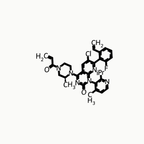 C=CC(=O)N1CCN(c2nc(=O)n(-c3c(C)ccnc3C(C)C)c3nc(-c4c(F)cccc4C=C)c(Cl)cc23)[C@@H](C)C1